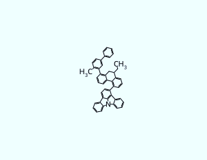 CCC1Cc2c(-c3cc(-c4ccccc4)ccc3C)cccc2-c2c(-c3ccc4c5ccccc5n5c6ccccc6c3c45)cccc21